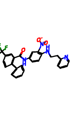 O=C(Nc1ccc(NCCc2ccccn2)c([N+](=O)[O-])c1)c1cc(C(F)(F)F)ccc1-c1ccccc1